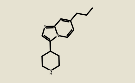 CCCc1ccn2c(C3CCNCC3)cnc2c1